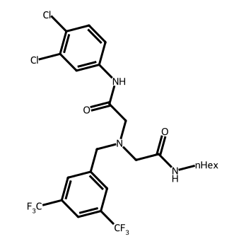 CCCCCCNC(=O)CN(CC(=O)Nc1ccc(Cl)c(Cl)c1)Cc1cc(C(F)(F)F)cc(C(F)(F)F)c1